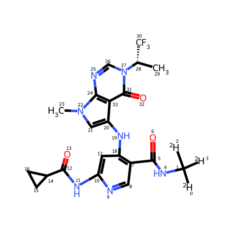 [2H]C([2H])([2H])NC(=O)c1cnc(NC(=O)C2CC2)cc1Nc1cn(C)c2ncn([C@@H](C)C(F)(F)F)c(=O)c12